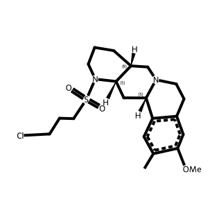 COc1cc2c(cc1C)[C@@H]1C[C@H]3[C@H](CCCN3S(=O)(=O)CCCCl)CN1CC2